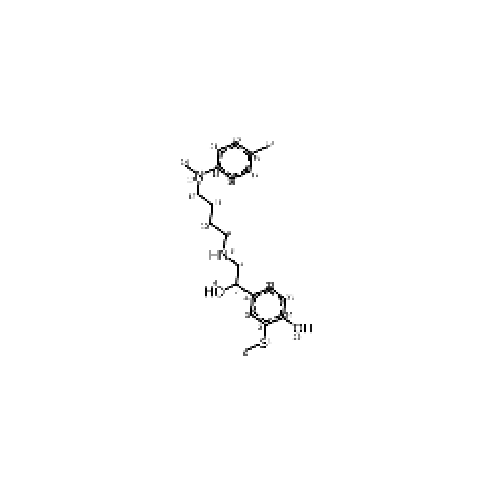 CSc1cc(C(O)CNCCCCN(C)c2ccc(C)cc2)ccc1O